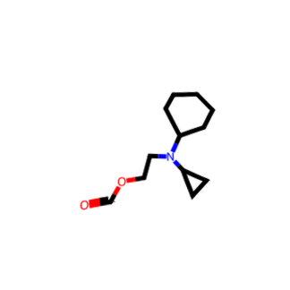 O=[C]OCCN(C1CCCCC1)C1CC1